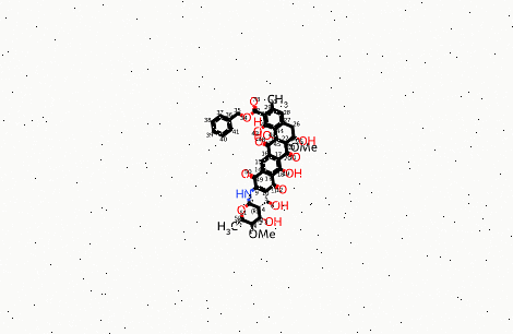 CO[C@@H]1[C@@H](O)[C@@H](CO)C(NC2=CC(=O)c3c(cc4c(c3O)C(=O)[C@]3(OC)[C@H](O)Cc5cc(C)c(C(=O)OCc6ccccc6)c(O)c5[C@]3(O)C4=O)C2=O)O[C@H]1C